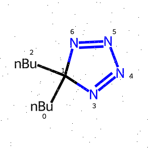 [CH2]CCCC1(CCCC)N=NN=N1